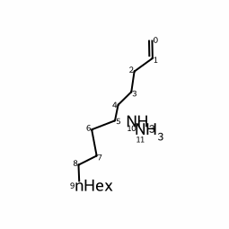 C=CCCCCCCCCCCCCC.N.N